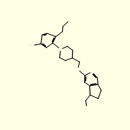 COc1ccc(CCC(F)(F)F)c(N2CCC(COc3cc4c(cn3)CCC4CC(=O)O)CC2)c1